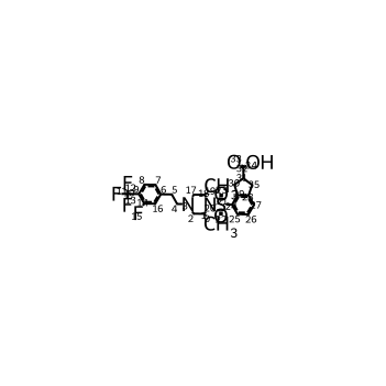 CC1CN(CCc2ccc(C(F)(F)F)c(F)c2)CC(C)N1S(=O)(=O)c1cccc2c1CC(C(=O)O)C2